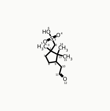 CC1(CS(=O)(=O)O)CCC(CC=O)C1(C)C